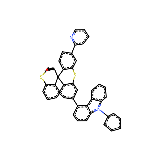 c1ccc(-n2c3ccccc3c3c(-c4ccc5c(c4)Sc4cc(-c6ccccn6)ccc4C54c5ccccc5Sc5ccccc54)cccc32)cc1